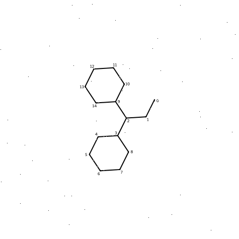 [CH2]CC(C1CCCCC1)C1CCCCC1